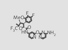 COc1c([C@H]2[C@H](C(=O)Nc3ccnc(Oc4nccc(N)n4)c3)O[C@@](C)(C(F)(F)F)[C@H]2C)ccc(F)c1F